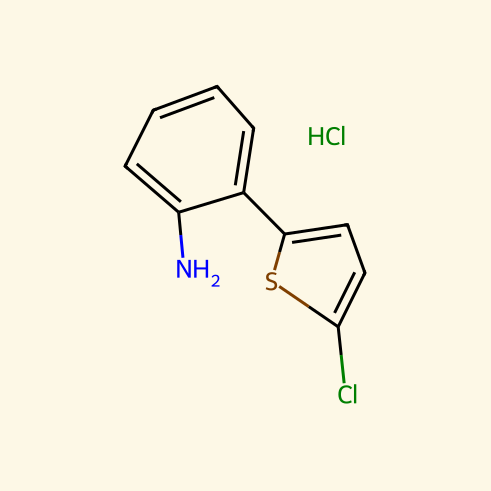 Cl.Nc1ccccc1-c1ccc(Cl)s1